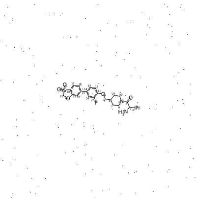 CC(C)C(N)C(=O)N1CCC(COc2ccc(-c3ccc4c(c3)OCS4(=O)=O)cc2F)CC1